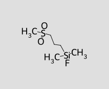 C[Si](C)(F)CCCS(C)(=O)=O